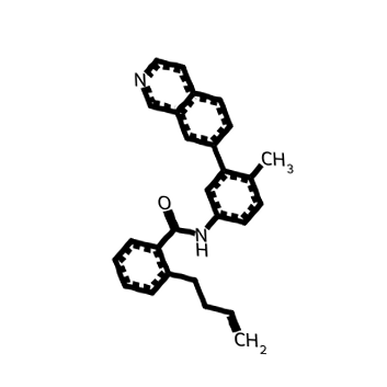 C=CCCc1ccccc1C(=O)Nc1ccc(C)c(-c2ccc3ccncc3c2)c1